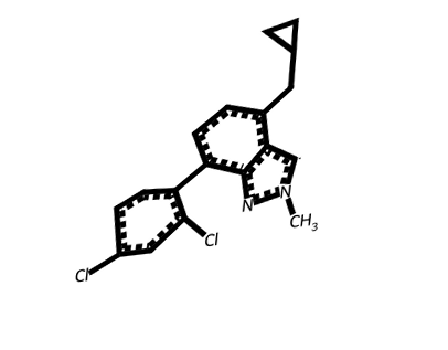 Cn1[c]c2c(CC3CC3)ccc(-c3ccc(Cl)cc3Cl)c2n1